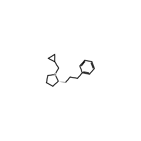 c1ccc(CCC[C@@H]2CCCN2CC2CC2)cc1